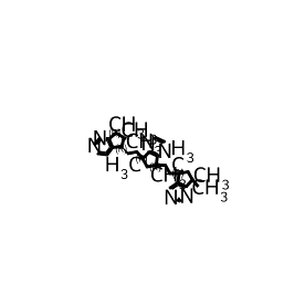 C[C@H]1c2nnccc2[C@H](CC[C@]2(C)C[C@@](C)(CC[C@]3(C)CC(C)(C)c4ncncc43)c3nccnc32)C1(C)C